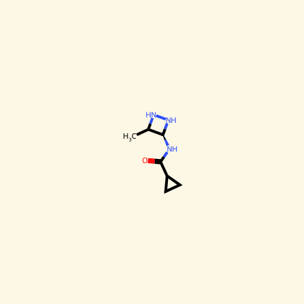 CC1NN[C@H]1NC(=O)C1CC1